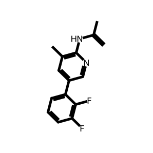 C=C(C)Nc1ncc(-c2cccc(F)c2F)cc1C